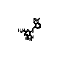 Cn1ncc2c(CSc3nc(N)nc4[nH]nnc34)cccc21